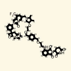 CC1C(C)N(Cc2cc(C(F)(F)F)c3cn(-c4cccc(C5(Cc6nncn6C)COC5)c4)c(=O)n3c2)C[C@H]1OCCOCc1ccc(COCCNc2cccc3c2C(=O)N(C2CCC(=O)NC2=O)C3=O)cc1